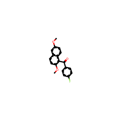 COc1ccc2c(C(=O)c3ccc(F)cc3)c(OC)ccc2c1